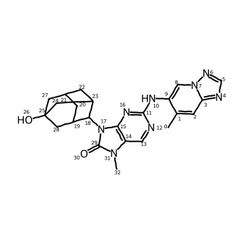 Cc1cc2ncnn2cc1Nc1ncc2c(n1)n(C1C3CC4CC1CC(O)(C4)C3)c(=O)n2C